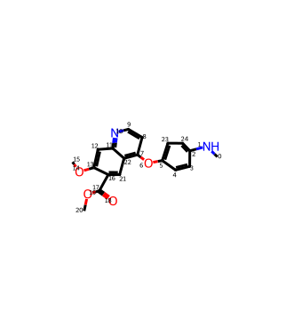 CNc1ccc(Oc2ccnc3cc(OC)c(C(=O)OC)cc23)cc1